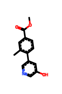 COC(=O)c1ccc(-c2cncc(O)c2)c(C)c1